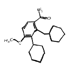 COc1ccc(C(N)=O)c(C2CCCCC2)c1C1CCCCC1